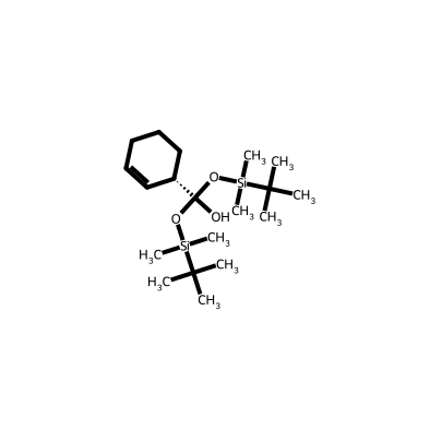 CC(C)(C)[Si](C)(C)OC(O)(O[Si](C)(C)C(C)(C)C)[C@@H]1C=CCCC1